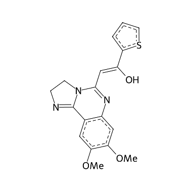 COc1cc2c(cc1OC)C1=NCCN1C(/C=C(\O)c1cccs1)=N2